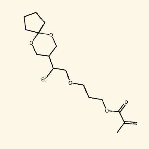 C=C(C)C(=O)OCCCOCC(CC)C1COC2(CCCC2)OC1